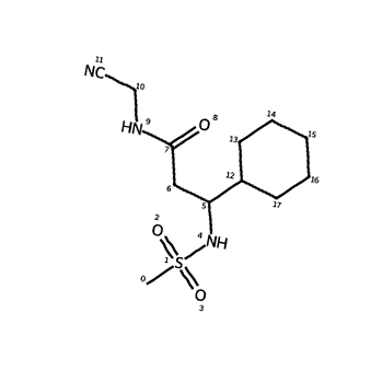 CS(=O)(=O)NC(CC(=O)NCC#N)C1CCCCC1